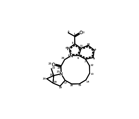 CC(=O)c1nn2c3c(cccc13)CCCCCC1CC3CC3(C)N1C(=O)C2